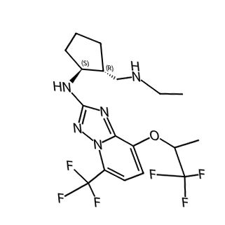 CCNC[C@H]1CCC[C@@H]1Nc1nc2c(OC(C)C(F)(F)F)ccc(C(F)(F)F)n2n1